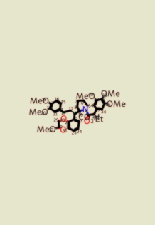 CC[C@H](C(=O)N1CCCC[C@@]1(C(=O)O)[C@H](CCc1ccc(OC)c(OC)c1)c1ccccc1OCC(=O)OC)c1cc(OC)c(OC)c(OC)c1